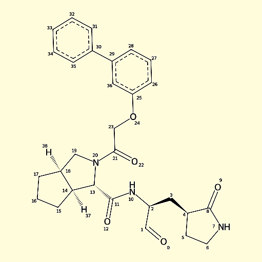 O=C[C@H](C[C@@H]1CCNC1=O)NC(=O)[C@@H]1[C@H]2CCC[C@H]2CN1C(=O)COc1cccc(-c2ccccc2)c1